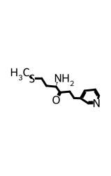 CSCC[C@H](N)C(=O)CCc1cccnc1